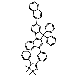 CC1(C)N=C(c2cccc(-c3cc4c(c5ccccc35)-c3ccc(-c5ccc6ccccc6c5)cc3C4(c3ccccc3)c3ccccc3)c2)N(c2ccccc2)C1(C)C